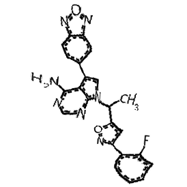 CC(c1cc(-c2ccccc2F)no1)n1cc(-c2ccc3nonc3c2)c2c(N)ncnc21